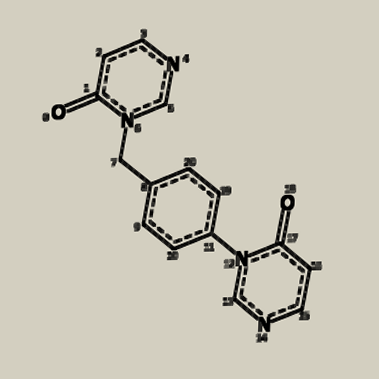 O=c1ccncn1Cc1ccc(-n2cnccc2=O)cc1